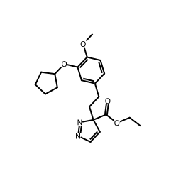 CCOC(=O)C1(CCc2ccc(OC)c(OC3CCCC3)c2)C=CN=N1